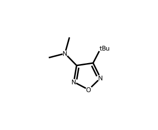 CN(C)c1nonc1C(C)(C)C